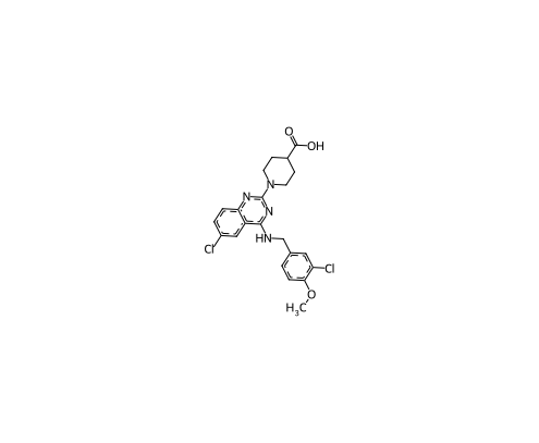 COc1ccc(CNc2nc(N3CCC(C(=O)O)CC3)nc3ccc(Cl)cc23)cc1Cl